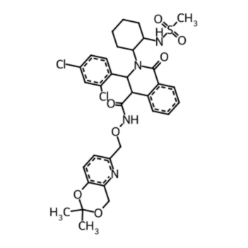 CC1(C)OCc2nc(CONC(=O)C3c4ccccc4C(=O)N(C4CCCCC4NS(C)(=O)=O)C3c3ccc(Cl)cc3Cl)ccc2O1